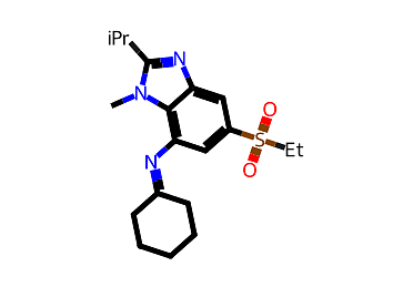 CCS(=O)(=O)c1cc(N=C2CCCCC2)c2c(c1)nc(C(C)C)n2C